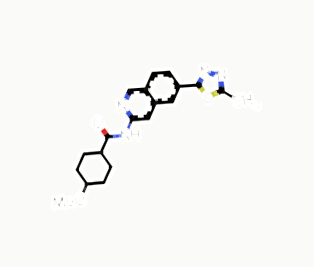 COC1CCC(C(=O)Nc2cc3cc(-c4nnc(C)s4)ccc3cn2)CC1